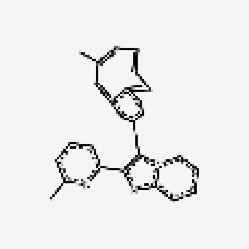 CC1=C/C=C/C=c2\ccc(-c3c(-c4cccc(C)n4)nc4ccccn34)c\c2=C\1